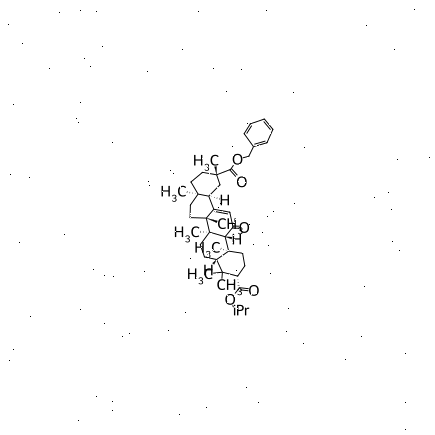 CC(C)OC(=O)[C@H]1CC[C@]2(C)[C@H]3C(=O)C=C4[C@@H]5C[C@@](C)(C(=O)OCc6ccccc6)CC[C@]5(C)CC[C@@]4(C)[C@]3(C)CC[C@H]2C1(C)C